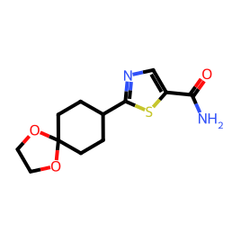 NC(=O)c1cnc(C2CCC3(CC2)OCCO3)s1